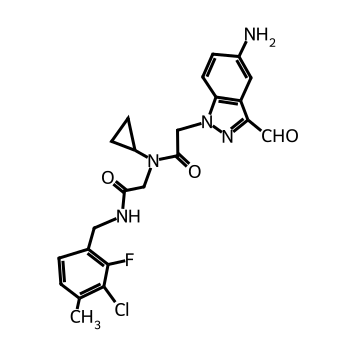 Cc1ccc(CNC(=O)CN(C(=O)Cn2nc(C=O)c3cc(N)ccc32)C2CC2)c(F)c1Cl